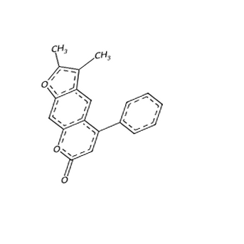 Cc1oc2cc3oc(=O)cc(-c4ccccc4)c3cc2c1C